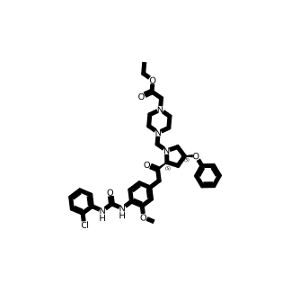 CCOC(=O)CN1CCN(CN2C[C@@H](Oc3ccccc3)C[C@H]2C(=O)Cc2ccc(NC(=O)Nc3ccccc3Cl)c(OC)c2)CC1